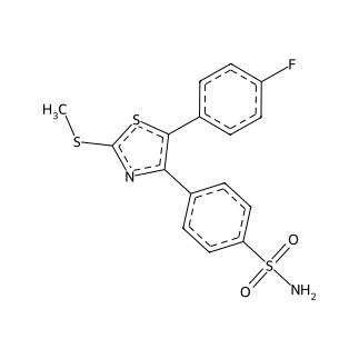 CSc1nc(-c2ccc(S(N)(=O)=O)cc2)c(-c2ccc(F)cc2)s1